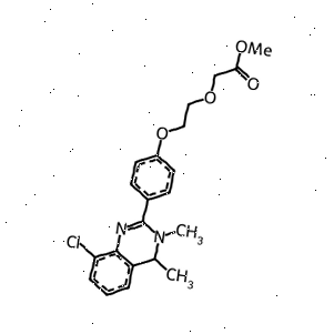 COC(=O)COCCOc1ccc(C2=Nc3c(Cl)cccc3C(C)N2C)cc1